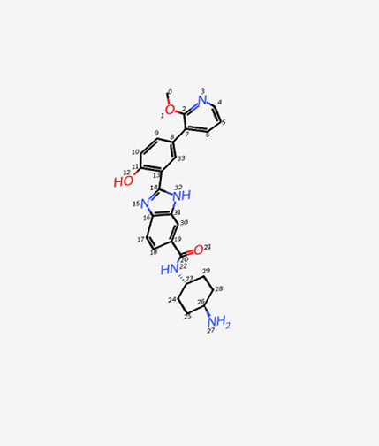 COc1ncccc1-c1ccc(O)c(-c2nc3ccc(C(=O)N[C@H]4CC[C@H](N)CC4)cc3[nH]2)c1